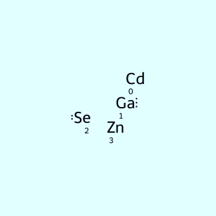 [Cd].[Ga].[Se].[Zn]